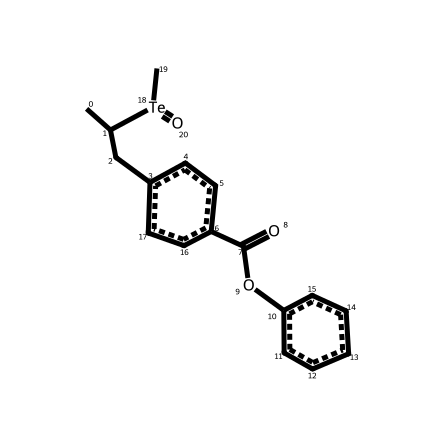 CC(Cc1ccc(C(=O)Oc2ccccc2)cc1)[Te](C)=O